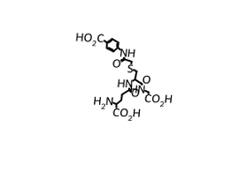 NC(CCC(=O)NC(CSCC(=O)Nc1ccc(C(=O)O)cc1)C(=O)NCC(=O)O)C(=O)O